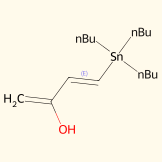 C=C(O)/C=[CH]/[Sn]([CH2]CCC)([CH2]CCC)[CH2]CCC